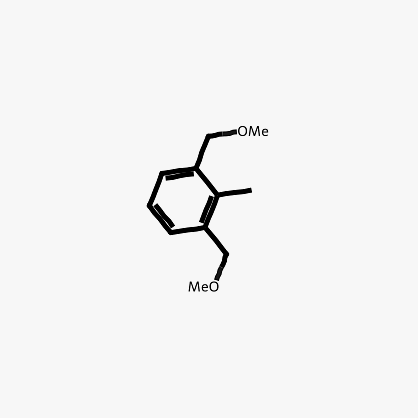 COCc1cccc(COC)c1C